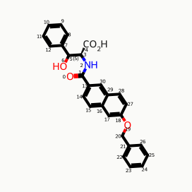 O=C(N[C@H](C(=O)O)C(O)c1ccccc1)c1ccc2cc(OCc3ccccc3)ccc2c1